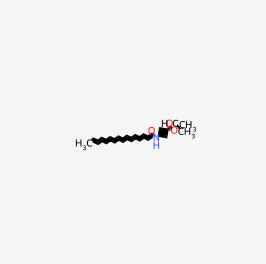 CCCCCCCCCCCCCCCC(=O)N[C@H]1C[C@H](C(=O)OC(C)(C)C)C1